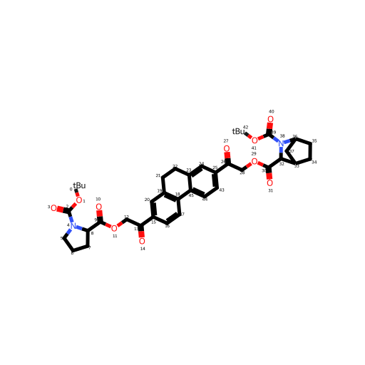 CC(C)(C)OC(=O)N1CCCC1C(=O)OCC(=O)c1ccc2c(c1)CCc1cc(C(=O)COC(=O)C3C4CCC(C4)N3C(=O)OC(C)(C)C)ccc1-2